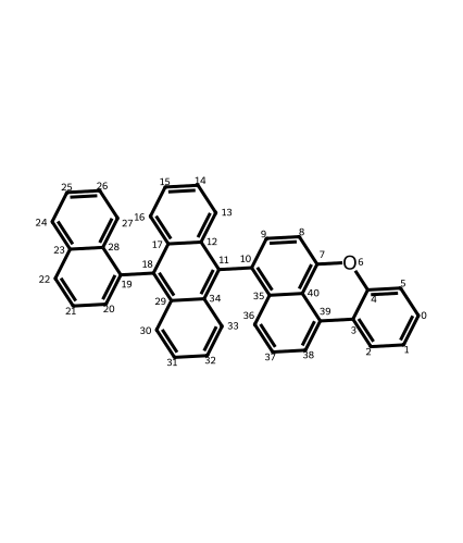 c1ccc2c(c1)Oc1ccc(-c3c4ccccc4c(-c4cccc5ccccc45)c4ccccc34)c3cccc-2c13